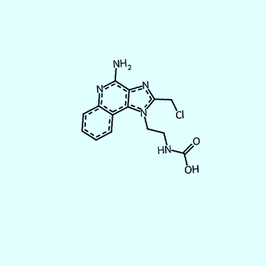 Nc1nc2ccccc2c2c1nc(CCl)n2CCNC(=O)O